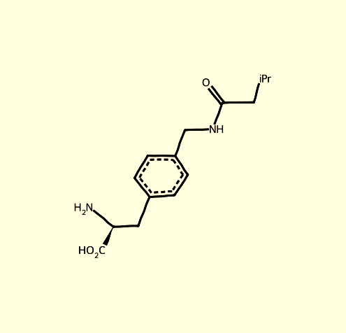 CC(C)CC(=O)NCc1ccc(C[C@H](N)C(=O)O)cc1